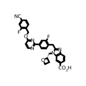 N#Cc1ccc(COc2ccnc(-c3ccc(Cc4nc5ccc(C(=O)O)cc5n4C[C@@H]4CCO4)c(F)c3)n2)c(F)c1